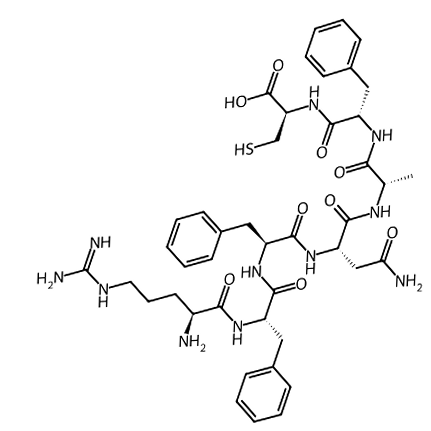 C[C@H](NC(=O)[C@H](CC(N)=O)NC(=O)[C@H](Cc1ccccc1)NC(=O)[C@H](Cc1ccccc1)NC(=O)[C@@H](N)CCCNC(=N)N)C(=O)N[C@@H](Cc1ccccc1)C(=O)N[C@@H](CS)C(=O)O